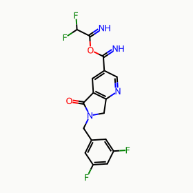 N=C(OC(=N)C(F)F)c1cnc2c(c1)C(=O)N(Cc1cc(F)cc(F)c1)C2